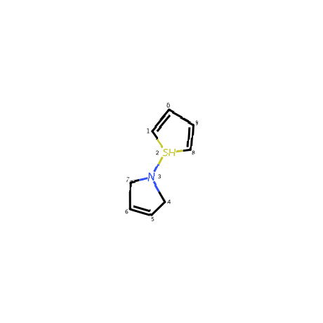 C1=C[SH](N2CC=CC2)C=C1